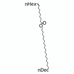 CCCCCC/C=C\CCCCCCCC(=O)OCCCCCCCCCCCCCCCCCCCCCCCCCCCCC